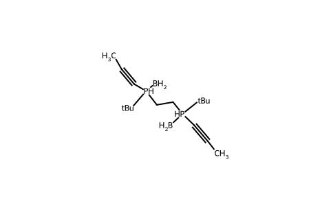 B[PH](C#CC)(CC[PH](B)(C#CC)C(C)(C)C)C(C)(C)C